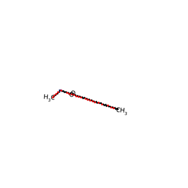 CCCCCCCC/C=C\CCCCCCCCOC(=O)CCCCCCCCCCCCCCCCCCCCCCCCCCCCCCCCCCCCCCC